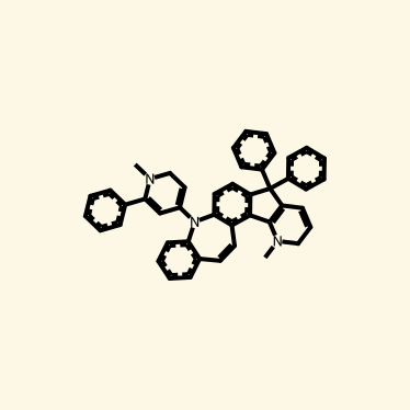 CN1CC=C(N2c3ccccc3C=Cc3c2ccc2c3C3=C(C=CCN3C)C2(c2ccccc2)c2ccccc2)C=C1c1ccccc1